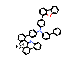 Cc1cccc(-c2ccc(N(c3ccc(-c4cccc5c4oc4ccccc45)cc3)c3cccc(-c4ccccc4)c3)cc2)c1-c1nc2ccccc2c2cccc(C)c12